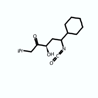 CC(C)CC(=O)[C@H](O)CC(N=C=O)C1CCCCC1